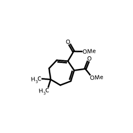 COC(=O)C1=CCC(C)(C)CC=C1C(=O)OC